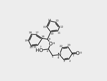 O=c1ccn(CC(O)OC(c2ccccc2)c2ccccc2)cc1